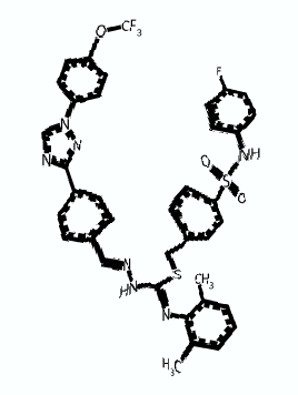 Cc1cccc(C)c1/N=C(/N/N=C/c1ccc(-c2ncn(-c3ccc(OC(F)(F)F)cc3)n2)cc1)SCc1ccc(S(=O)(=O)Nc2ccc(F)cc2)cc1